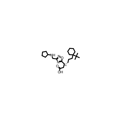 CC(C)(C)C1(CCC[C@H](CC(=O)O)c2nc(CNC3CCCC3)no2)CCCCC1